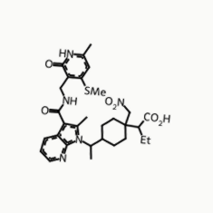 CCC(C(=O)O)C1(C[N+](=O)[O-])CCC(C(C)n2c(C)c(C(=O)NCc3c(SC)cc(C)[nH]c3=O)c3cccnc32)CC1